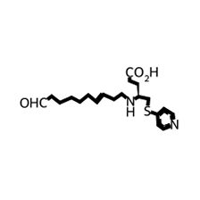 O=CCCCCC/C=C/CCN[C@@H](CCC(=O)O)CSc1ccncc1